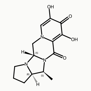 C[C@H]1[C@H]2CCCN2[C@@H]2Cn3cc(O)c(=O)c(O)c3C(=O)N12